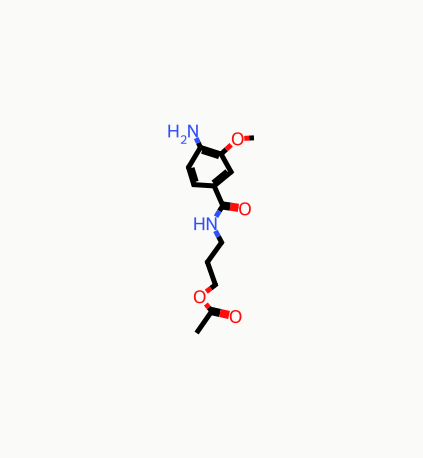 COc1cc(C(=O)NCCCOC(C)=O)ccc1N